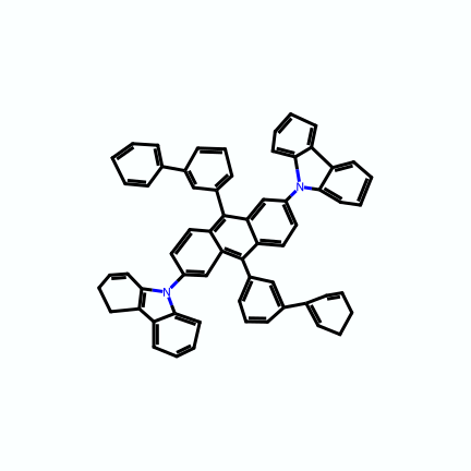 C1=CC(c2cccc(-c3c4ccc(-n5c6ccccc6c6ccccc65)cc4c(-c4cccc(-c5ccccc5)c4)c4ccc(-n5c6c(c7ccccc75)CCC=C6)cc34)c2)=CCC1